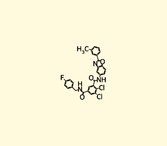 Cc1cccc(-c2nc3cc(NC(=O)c4cc(C(=O)NCc5ccc(F)cc5)cc(Cl)c4Cl)ccc3o2)c1